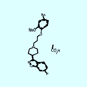 CC(=O)O.COc1cc(C(C)=O)ccc1OCCCN1CCC(c2noc3cc(F)ccc23)CC1